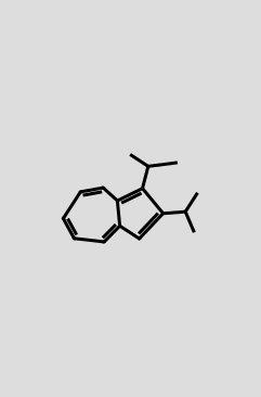 CC(C)c1cc2cccccc-2c1C(C)C